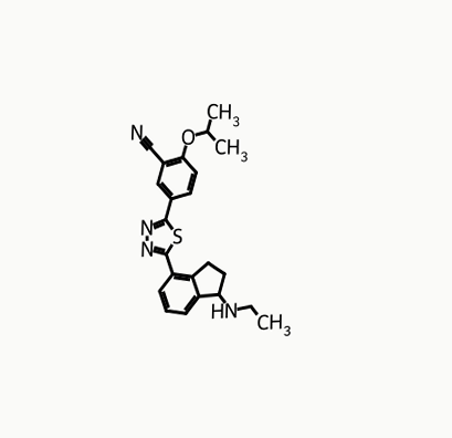 CCNC1CCc2c(-c3nnc(-c4ccc(OC(C)C)c(C#N)c4)s3)cccc21